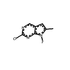 Cc1cc2cnc(Cl)nc2n1F